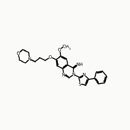 COc1cc2c(=N)n(-c3nc(-c4ccccc4)cs3)cnc2cc1OCCCN1CCOCC1